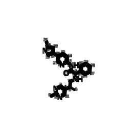 Cc1ncc([C@H](C)CN[C@@H](C(=O)Nc2ccc(-c3cnn(C)c3)cn2)c2ccccc2)cn1